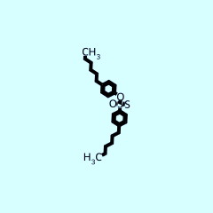 CCCCCCc1ccc(OS(=O)(=S)c2ccc(CCCCCC)cc2)cc1